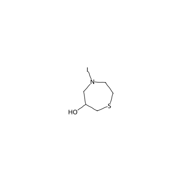 OC1CSCCN(I)C1